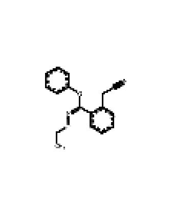 CCON=C(Oc1ccccc1)c1ccccc1CC#N